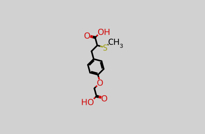 CSC(Cc1ccc(OCC(=O)O)cc1)C(=O)O